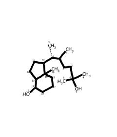 CC(CCC(C)(C)O)[C@@H](C)C1CCC2C(O)CCCC21C